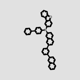 c1ccc(-c2ccc(N(c3ccc4ccc(-c5cccc(-c6ccc7ccccc7c6)c5)cc4c3)c3ccc4oc5ccccc5c4c3)cc2)cc1